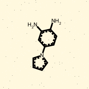 Nc1ccc(-n2cccc2)cc1N